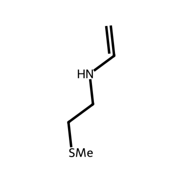 C=CNCCSC